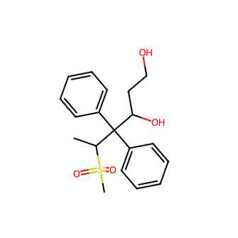 CC(C(c1ccccc1)(c1ccccc1)C(O)CCO)S(C)(=O)=O